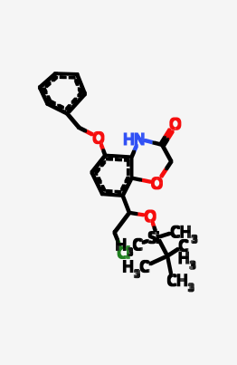 CC(C)(C)[Si](C)(C)OC(CCl)c1ccc(OCc2ccccc2)c2c1OCC(=O)N2